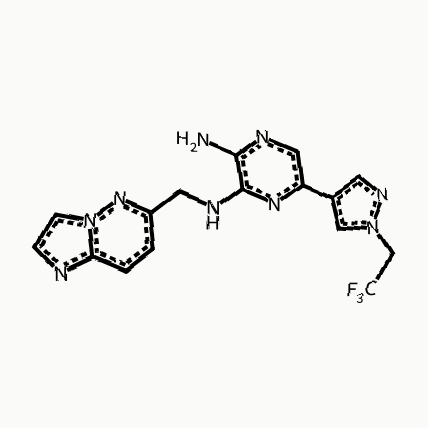 Nc1ncc(-c2cnn(CC(F)(F)F)c2)nc1NCc1ccc2nccn2n1